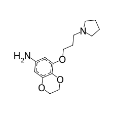 Nc1cc(OCCCN2CCCC2)c2c(c1)OCCO2